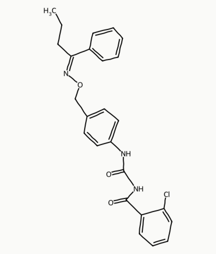 CCCC(=NOCc1ccc(NC(=O)NC(=O)c2ccccc2Cl)cc1)c1ccccc1